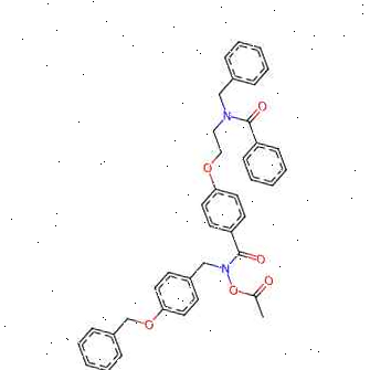 CC(=O)ON(Cc1ccc(OCc2ccccc2)cc1)C(=O)c1ccc(OCCN(Cc2ccccc2)C(=O)c2ccccc2)cc1